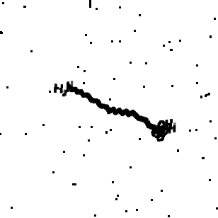 NCCCCCCCCCCCCCCCCCCCCCCOP(=O)(O)O